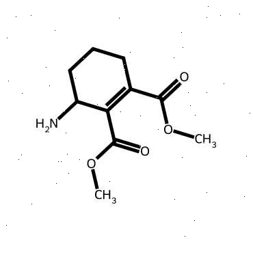 COC(=O)C1=C(C(=O)OC)C(N)CCC1